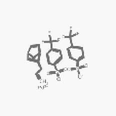 C=CCC1=CC2C=CC1C2.O=S(=O)([O-])c1ccc(C(F)(F)F)cc1.O=S(=O)([O-])c1ccc(C(F)(F)F)cc1.[Pd+2]